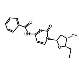 O=C(Nc1ccn([C@H]2C[C@H](O)[C@@H](CI)O2)c(=O)n1)c1ccccc1